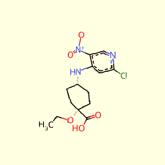 CCO[C@]1(C(=O)O)CC[C@H](Nc2cc(Cl)ncc2[N+](=O)[O-])CC1